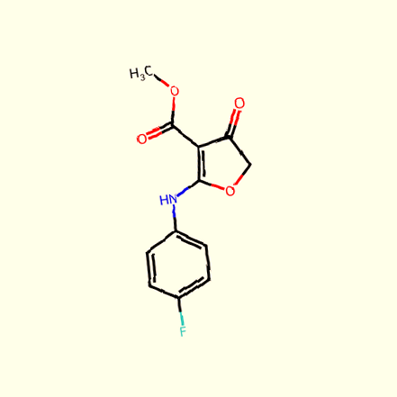 COC(=O)C1=C(Nc2ccc(F)cc2)OCC1=O